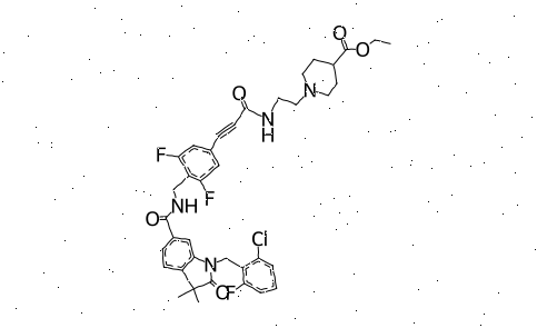 CCOC(=O)C1CCN(CCNC(=O)C#Cc2cc(F)c(CNC(=O)c3ccc4c(c3)N(Cc3c(F)cccc3Cl)C(=O)C4(C)C)c(F)c2)CC1